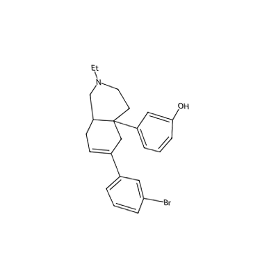 CCN1CCC2(c3cccc(O)c3)CC(c3cccc(Br)c3)=CCC2C1